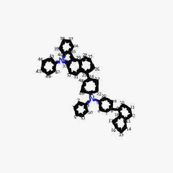 c1ccc(N(c2ccc(-c3cccc4ccccc34)cc2)c2ccc(-c3cccc4c3ccc3c4c4ccccc4n3-c3ccccc3)cc2)cc1